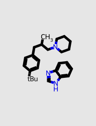 CC(Cc1ccc(C(C)(C)C)cc1)CN1CCCCC1.c1ccc2[nH]cnc2c1